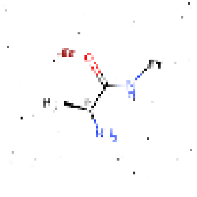 Br.CC(C)NC(=O)[C@H](C)N